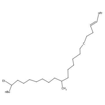 [CH2]CCC=CCCCCCCCCCC(C)CCCCCCCC(CC)CCC[CH2]